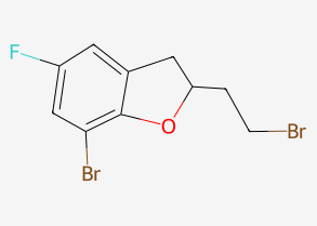 Fc1cc(Br)c2c(c1)CC(CCBr)O2